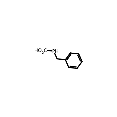 O=C(O)PCc1ccccc1